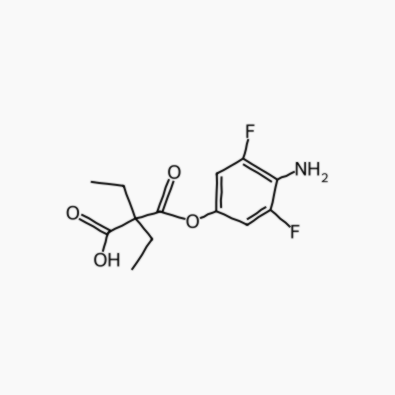 CCC(CC)(C(=O)O)C(=O)Oc1cc(F)c(N)c(F)c1